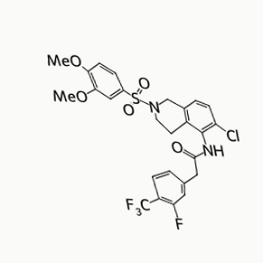 COc1ccc(S(=O)(=O)N2CCc3c(ccc(Cl)c3NC(=O)Cc3ccc(C(F)(F)F)c(F)c3)C2)cc1OC